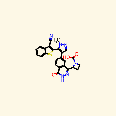 Cn1ncc(-c2ccc3c(=O)[nH]nc(C4CCN4C(=O)O)c3c2)c1-c1sc2ccccc2c1C#N